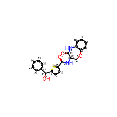 O=C(N[C@@H]1COc2ccccc2NC1=O)c1ccc(C(O)c2ccccc2)s1